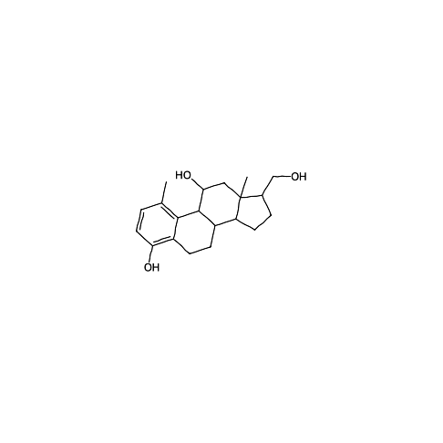 Cc1ccc(O)c2c1C1C(O)CC3(C)C(CO)CCC3C1CC2